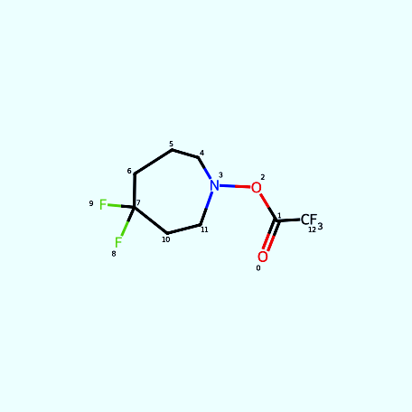 O=C(ON1CCCC(F)(F)CC1)C(F)(F)F